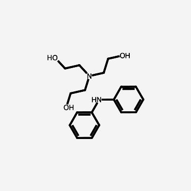 OCCN(CCO)CCO.c1ccc(Nc2ccccc2)cc1